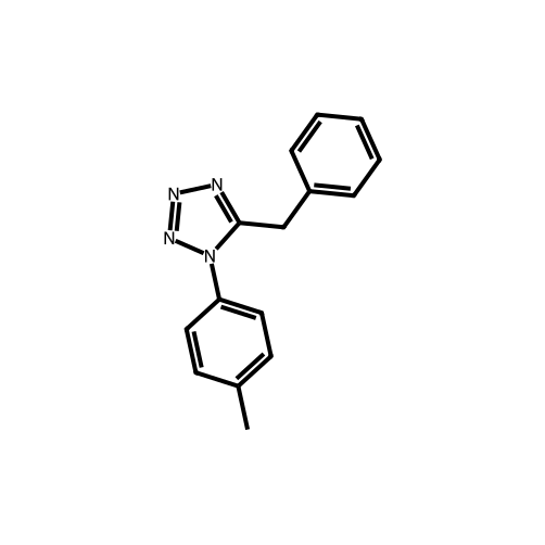 Cc1ccc(-n2nnnc2Cc2ccccc2)cc1